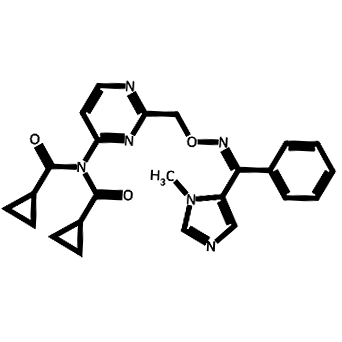 Cn1cncc1C(=NOCc1nccc(N(C(=O)C2CC2)C(=O)C2CC2)n1)c1ccccc1